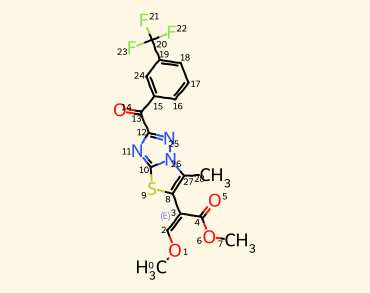 CO/C=C(\C(=O)OC)c1sc2nc(C(=O)c3cccc(C(F)(F)F)c3)nn2c1C